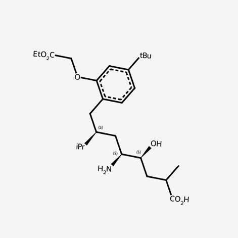 CCOC(=O)COc1cc(C(C)(C)C)ccc1C[C@@H](C[C@H](N)[C@@H](O)CC(C)C(=O)O)C(C)C